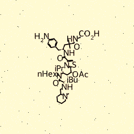 CCCCCCN(C(=O)[C@@H](NCC1CCCCN1C)[C@@H](C)CC)[C@H](C[C@@H](OC(C)=O)c1nc(C(=O)N[C@@H](Cc2ccc(N)cc2)CC(C)(C)C(=O)NCC(=O)O)cs1)C(C)C